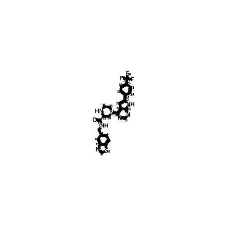 O=C(NCc1ccc2scnc2c1)[C@@H]1CN(c2ncnc3[nH]c(-c4ccc(C(F)(F)F)cc4)cc23)CCN1